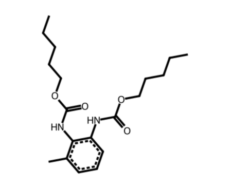 CCCCCOC(=O)Nc1cccc(C)c1NC(=O)OCCCCC